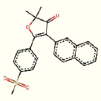 CC1(C)OC(c2ccc(S(C)(=O)=O)cc2)=C(c2ccc3ccccc3c2)C1=O